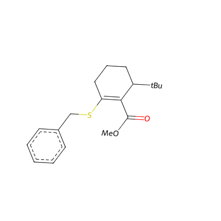 COC(=O)C1=C(SCc2ccccc2)CCCC1C(C)(C)C